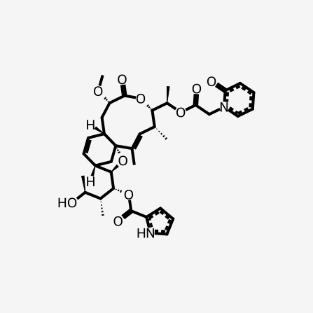 CO[C@H]1C[C@H]2C=C[C@@H]3C[C@]2(O[C@H]3[C@H](OC(=O)c2ccc[nH]2)[C@H](C)[C@H](C)O)/C(C)=C/[C@@H](C)[C@@H]([C@@H](C)OC(=O)Cn2ccccc2=O)OC1=O